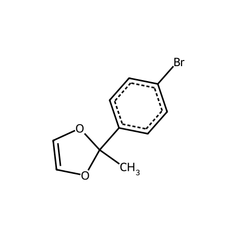 CC1(c2ccc(Br)cc2)OC=CO1